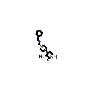 N#Cc1c(N2CCN(C/C=C/c3ccccc3)CC2)cc[nH]c1=S